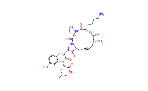 CC(C)C[C@H](NC(=O)[C@H](Cc1ccc(O)cc1)NC(=O)[C@@H]1C/C=C/C[C@H](N)C(=O)N[C@@H](CCCCN)C(=O)N[C@@H](CN)C(=O)N1)C(=O)O